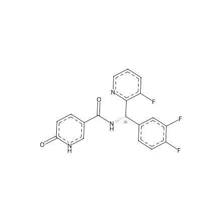 O=C(N[C@@H](c1ccc(F)c(F)c1)c1ncccc1F)c1ccc(=O)[nH]c1